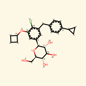 OC[C@H]1O[C@@H](c2cc(Cc3ccc(C4CC4)cc3)c(Cl)c(OC3CCC3)c2)[C@H](O)C(O)[C@@H]1O